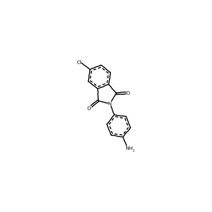 Nc1ccc(N2C(=O)c3ccc(Cl)cc3C2=O)cc1